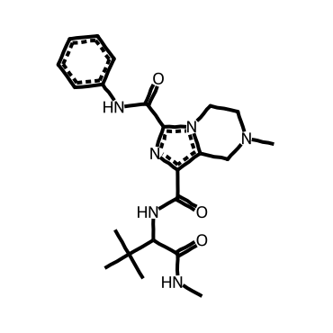 CNC(=O)C(NC(=O)c1nc(C(=O)Nc2ccccc2)n2c1CN(C)CC2)C(C)(C)C